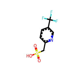 O=S(=O)(O)[CH]c1ccc(C(F)(F)F)cn1